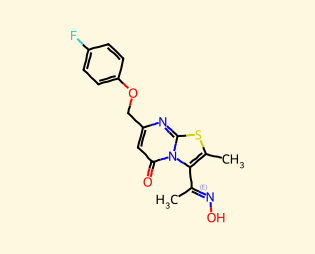 C/C(=N\O)c1c(C)sc2nc(COc3ccc(F)cc3)cc(=O)n12